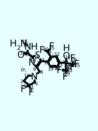 C[C@H]1CC(F)(F)CN1Cc1nc(C(=O)NN)sc1-c1ccc(C(O)(C(F)(F)F)C(F)(F)F)cc1C(F)F